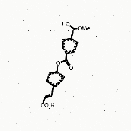 COC(O)c1ccc(C(=O)Oc2ccc(/C=C/C(=O)O)cc2)cc1